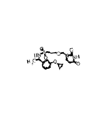 CC(NS(=O)(=O)CCCOCn1ccc(=O)[nH]c1=O)c1cccc(OC2CC2)c1